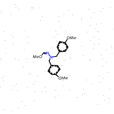 CO/C=N\N(Cc1ccc(OC)cc1)Cc1ccc(OC)cc1